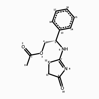 CC(=O)OC[C@@H](NC1=NC(=O)CS1)c1ccccc1